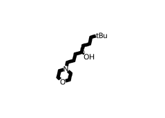 CC(C)(C)CCC[C@@H](O)CCCN1CCOCC1